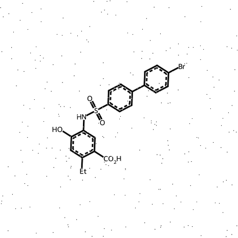 CCc1cc(O)c(NS(=O)(=O)c2ccc(-c3ccc(Br)cc3)cc2)cc1C(=O)O